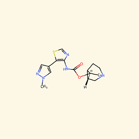 Cn1cc(-c2scnc2NC(=O)O[C@H]2CN3CCC2CC3)cn1